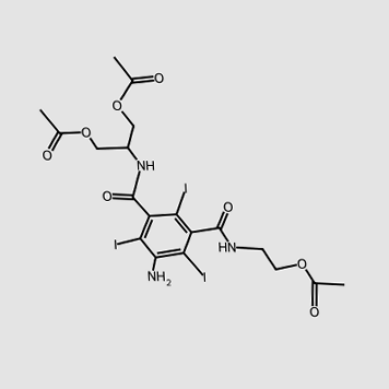 CC(=O)OCCNC(=O)c1c(I)c(N)c(I)c(C(=O)NC(COC(C)=O)COC(C)=O)c1I